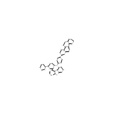 c1ccc(-c2ccc(N(c3ccc(-c4ccc5c(ccc6c7ccccc7ccc56)c4)cc3)c3cccc4sc5ncccc5c34)cc2)cc1